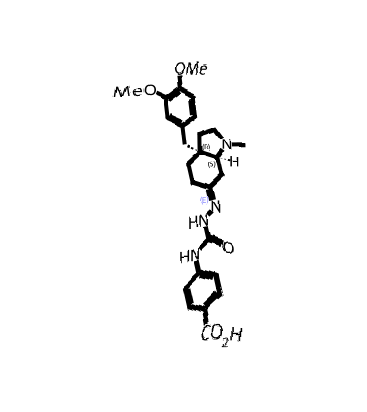 COc1ccc(C[C@@]23CC/C(=N\NC(=O)Nc4ccc(C(=O)O)cc4)C[C@@H]2N(C)CC3)cc1OC